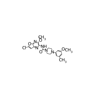 COc1cc(C)cc(N2CCN(C(=O)Nc3nc4cc(Cl)oc4nc3OC)CC2)c1